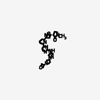 CN1CC[C@@H](c2cc(-c3cccc(-c4ccnc(Nc5cnn(C6CCN(C7COC7)C6)c5)n4)n3)no2)C1=O